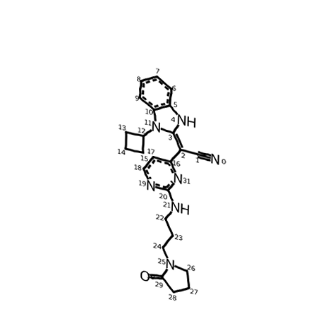 N#CC(=C1Nc2ccccc2N1C1CCC1)c1ccnc(NCCCN2CCCC2=O)n1